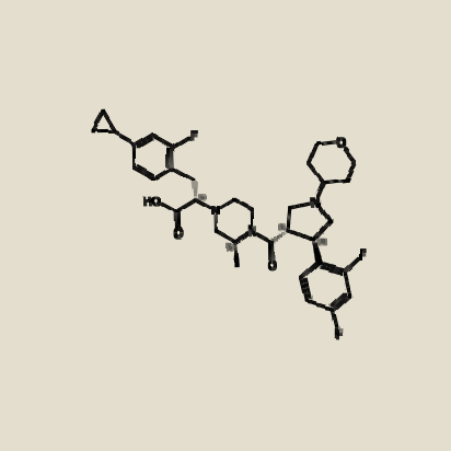 C[C@H]1CN([C@@H](Cc2ccc(C3CC3)cc2F)C(=O)O)CCN1C(=O)[C@@H]1CN(C2CCOCC2)C[C@H]1c1ccc(F)cc1F